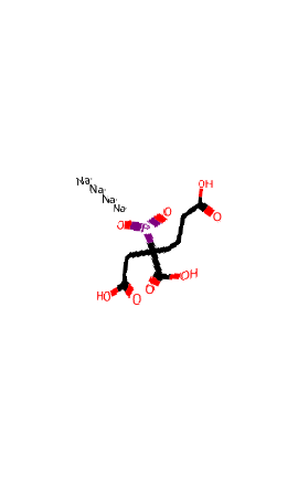 O=C(O)CCC(CC(=O)O)(C(=O)O)P(=O)=O.[Na].[Na].[Na].[Na]